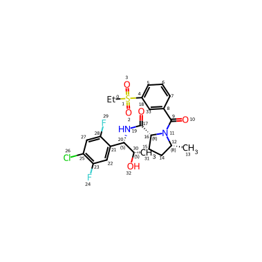 CCS(=O)(=O)c1cccc(C(=O)N2[C@H](C)CC[C@@H]2C(=O)N[C@@H](c2cc(F)c(Cl)cc2F)[C@H](C)O)c1